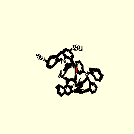 CC(C)(C)c1ccc2c(c1)c1cc(C(C)(C)C)cc3c4nc5c(nc4n2c13)c1c2ccccc2cc2c3cc4ccccc4c(N(c4ccccc4)c4ccccc4)c3n5c21